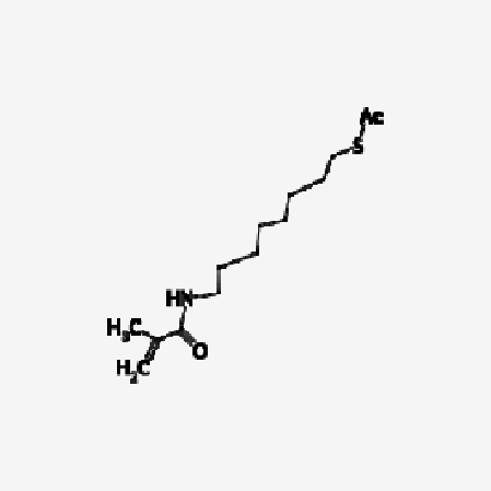 C=C(C)C(=O)NCCCCCCCCSC(C)=O